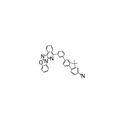 CC1(C)c2cc(C#N)ccc2-c2ccc(-c3cccc(-c4nc5c(nc6oc7ccccc7n65)c5ccccc45)c3)cc21